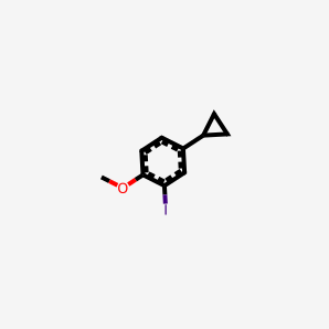 COc1ccc(C2CC2)cc1I